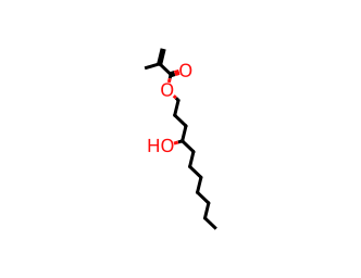 C=C(C)C(=O)OCCCC(O)CCCCCCC